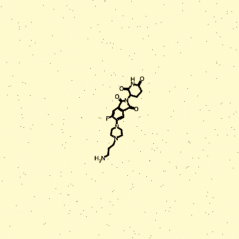 NCCCN1CCN(c2cc3c(cc2F)C(=O)N(C2CCC(=O)NC2=O)C3=O)CC1